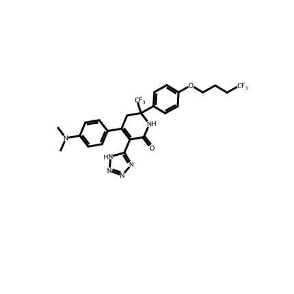 CN(C)c1ccc(C2=C(c3nnn[nH]3)C(=O)NC(c3ccc(OCCCC(F)(F)F)cc3)(C(F)(F)F)C2)cc1